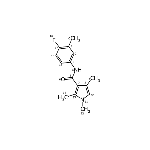 Cc1cc(NC(=O)c2c(C)cn(C)c2C)ccc1F